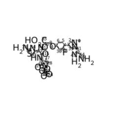 C[n+]1cc(-c2ccc(OC[C@H](O/N=C(\C(=O)N[C@@H]3C(=O)N(OS(=O)(=O)[O-])C3(C)C)c3csc(N)n3)C(=O)O)cc2F)cn1C[C@H](N)CN